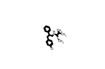 C=C=C(NCC(Cc1ccc(Cl)cc1)c1ccccc1)C(=C)C